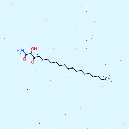 CCCCCCCCC=CCCCCCCCC(=O)C(O)C(N)=O